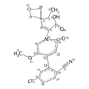 CCC1(C=C(C(=O)O)n2cc(OC)c(-c3cc(Cl)ccc3C#N)cc2=O)COC1